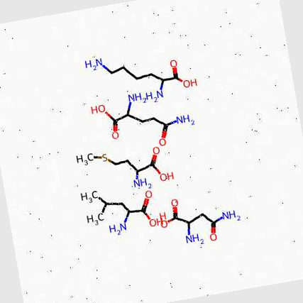 CC(C)CC(N)C(=O)O.CSCCC(N)C(=O)O.NC(=O)CC(N)C(=O)O.NC(=O)CCC(N)C(=O)O.NCCCCC(N)C(=O)O